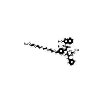 COCCOCCOCCOCCOCc1ccc([C@@H](C[C@H](O)[C@H](Cc2ccccc2)NC(=O)OC(C)(C)C)C(=O)N(C)[C@H]2c3ccccc3C[C@H]2O)cc1